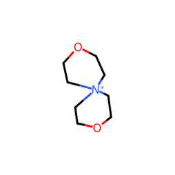 C1C[N+]2(CCO1)CCOCC2